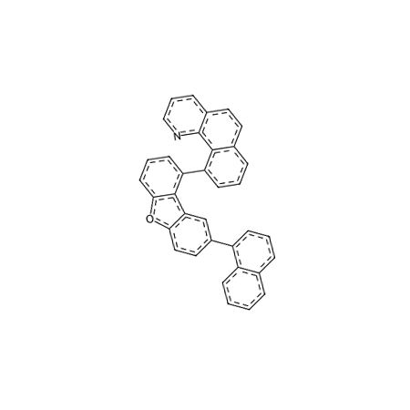 c1ccc2c(-c3ccc4oc5cccc(-c6cccc7ccc8cccnc8c67)c5c4c3)cccc2c1